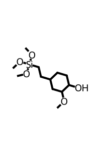 COC1CC(CC[Si](OC)(OC)OC)CCC1O